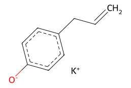 C=CCc1ccc([O-])cc1.[K+]